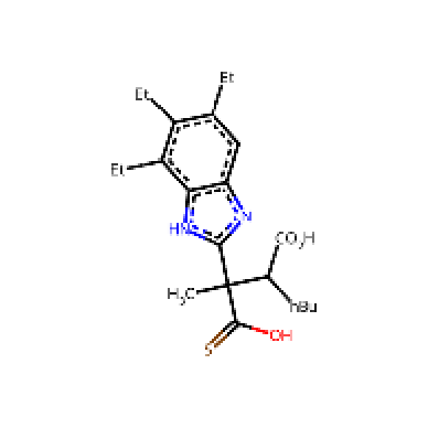 CCCCC(C(=O)O)C(C)(C(O)=S)c1nc2cc(CC)c(CC)c(CC)c2[nH]1